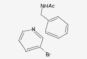 Brc1cccnc1.CC(=O)NCc1ccccc1